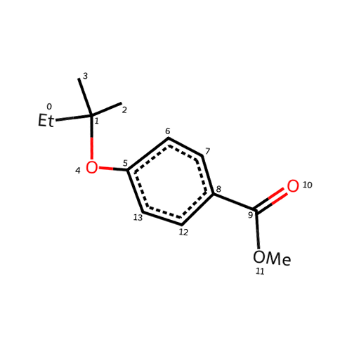 CCC(C)(C)Oc1ccc(C(=O)OC)cc1